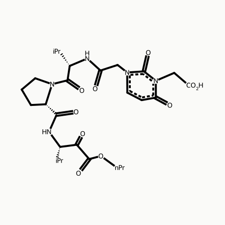 CCCOC(=O)C(=O)[C@@H](NC(=O)[C@@H]1CCCN1C(=O)[C@@H](NC(=O)Cn1ccc(=O)n(CC(=O)O)c1=O)C(C)C)C(C)C